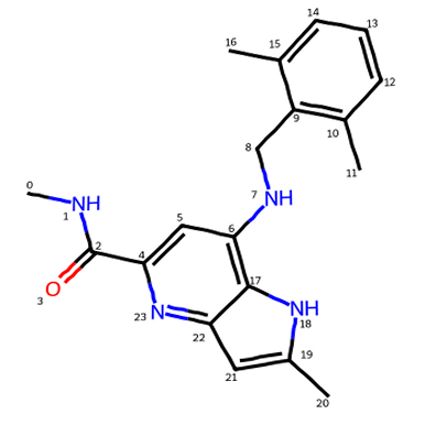 CNC(=O)c1cc(NCc2c(C)cccc2C)c2[nH]c(C)cc2n1